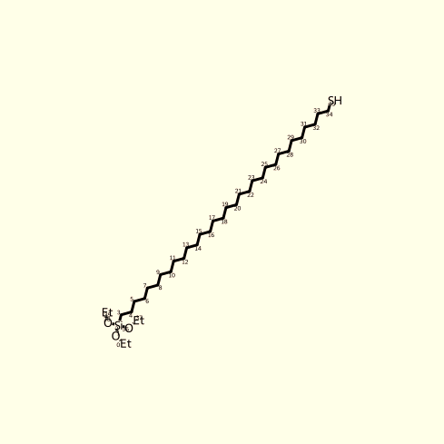 CCO[Si](CCCCCCCCCCCCCCCCCCCCCCCCCCCCCCCCS)(OCC)OCC